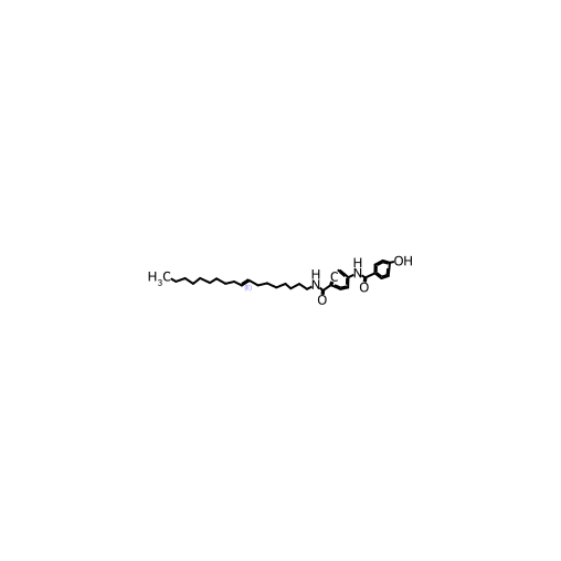 CCCCCCCCC/C=C/CCCCCCCNC(=O)c1ccc(NC(=O)c2ccc(O)cc2)cc1